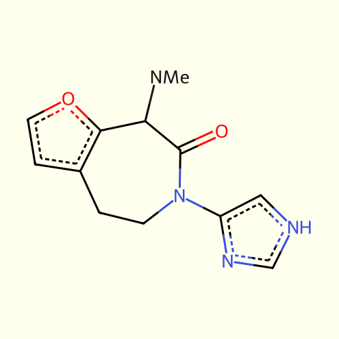 CNC1C(=O)N(c2c[nH]cn2)CCc2ccoc21